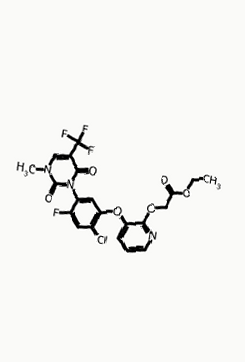 CCOC(=O)COc1ncccc1Oc1cc(-n2c(=O)c(C(F)(F)F)cn(C)c2=O)c(F)cc1Cl